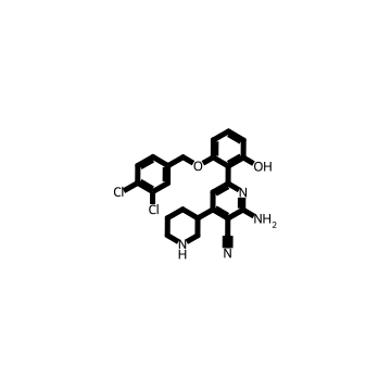 N#Cc1c(C2CCCNC2)cc(-c2c(O)cccc2OCc2ccc(Cl)c(Cl)c2)nc1N